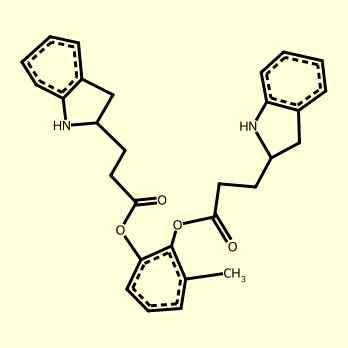 Cc1cccc(OC(=O)CCC2Cc3ccccc3N2)c1OC(=O)CCC1Cc2ccccc2N1